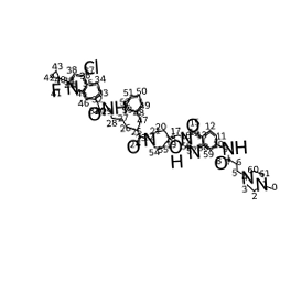 CN1CCN(CCC(=O)Nc2ccc3c(=O)n(CC4(O)CCN(C(=O)C(CCCNC(=O)c5ccc6c(Cl)cc(C7(F)CC7)nc6c5)Cc5ccccc5)CC4)cnc3c2)CC1